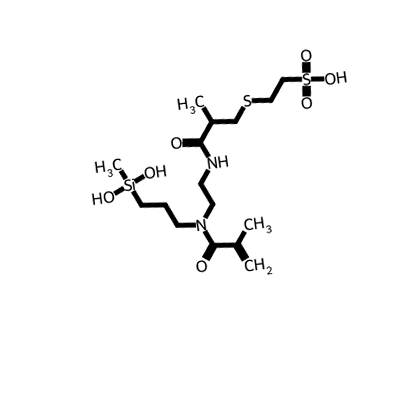 C=C(C)C(=O)N(CCC[Si](C)(O)O)CCNC(=O)C(C)CSCCS(=O)(=O)O